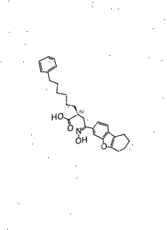 O=C(O)[C@@H](CCCCCCc1ccccc1)CC(=NO)c1ccc2c3c(oc2c1)CCCC3